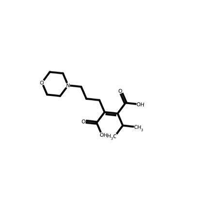 CC(C)C(C(=O)O)=C(CCCN1CCOCC1)C(=O)O